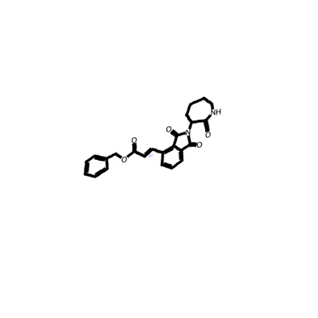 O=C(/C=C/c1cccc2c1C(=O)N(C1CCCCNC1=O)C2=O)OCc1ccccc1